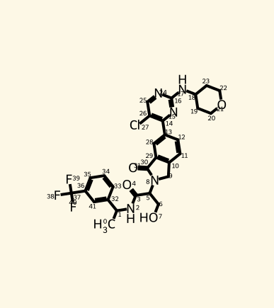 CC(NC(=O)C(CO)N1Cc2ccc(-c3nc(NC4CCOCC4)ncc3Cl)cc2C1=O)c1cccc(C(F)(F)F)c1